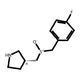 [O-][S+](Cc1ccc(F)cc1)C[C@@H]1CCNC1